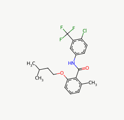 Cc1cccc(OCCC(C)C)c1C(=O)Nc1ccc(Cl)c(C(F)(F)F)c1